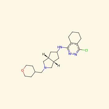 Clc1nnc(NC2C[C@@H]3CN(CC4CCOCC4)C[C@@H]3C2)c2c1CCCC2